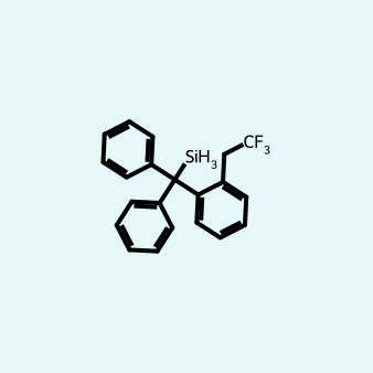 FC(F)(F)Cc1ccccc1C([SiH3])(c1ccccc1)c1ccccc1